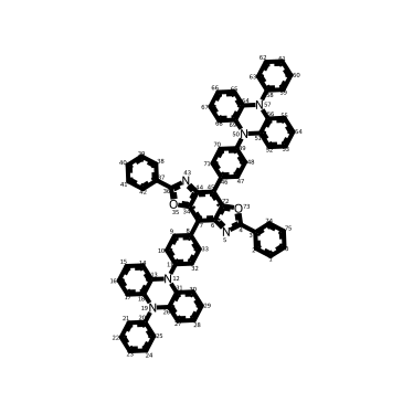 c1ccc(-c2nc3c(-c4ccc(N5c6ccccc6N(c6ccccc6)c6ccccc65)cc4)c4oc(-c5ccccc5)nc4c(-c4ccc(N5c6ccccc6N(c6ccccc6)c6ccccc65)cc4)c3o2)cc1